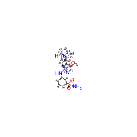 COc1cnc(Nc2cccc(S(N)(=O)=O)c2)nc1C1C[C@H]2CC[C@@H](C1)N2c1ccccc1